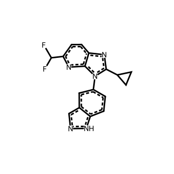 FC(F)c1ccc2nc(C3CC3)n(-c3ccc4[nH]ncc4c3)c2n1